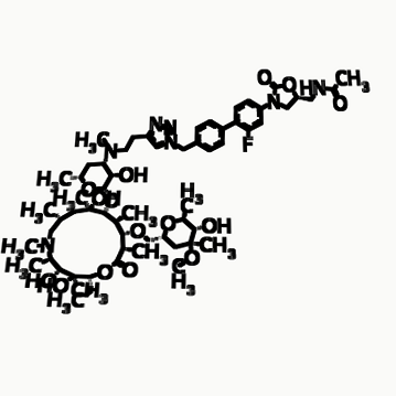 CC[C@H]1OC(=O)[C@H](C)[C@@H](OC[C@H]2C[C@@](C)(OC)[C@@H](O)[C@H](C)O2)[C@H](C)[C@@H](O[C@@H]2O[C@H](C)C[C@H](N(C)CCc3cn(Cc4ccc(-c5ccc(N6C[C@H](CNC(C)=O)OC6=O)cc5F)cc4)nn3)[C@H]2O)[C@](C)(O)C[C@@H](C)CN(C)[C@H](C)[C@@H](O)[C@]1(C)O